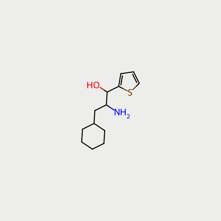 NC(CC1CCCCC1)C(O)c1cccs1